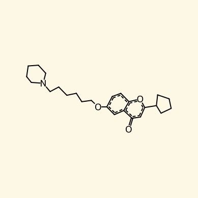 O=c1cc(C2CCCC2)oc2ccc(OCCCCCCN3CCCCC3)cc12